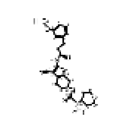 COc1cccc(CCC(=O)Nc2sc3c(c2C#N)CCC(OC(=O)N(C)C2CCOCC2)C3)c1